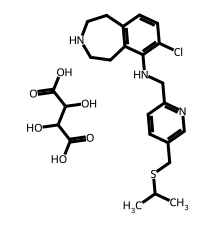 CC(C)SCc1ccc(CNc2c(Cl)ccc3c2CCNCC3)nc1.O=C(O)C(O)C(O)C(=O)O